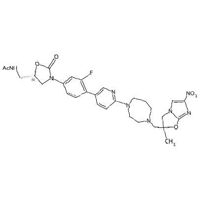 CC(=O)NC[C@H]1CN(c2ccc(-c3ccc(N4CCCN(CC5(C)Cn6cc([N+](=O)[O-])nc6O5)CC4)nc3)c(F)c2)C(=O)O1